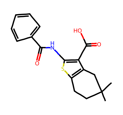 CC1(C)CCc2sc(NC(=O)c3ccccc3)c(C(=O)O)c2C1